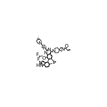 C=CC(=O)N1CC2(CCN(c3nc(N4CC(N5CC[C@H](C)C5)C4)nc4c(OCC(F)F)c(-c5c(C)ccc6[nH]ncc56)c(C5CC5)cc34)CC2)C1